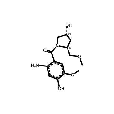 COC[C@@H]1C[C@@H](O)CN1C(=O)c1cc(OC)c(O)cc1N